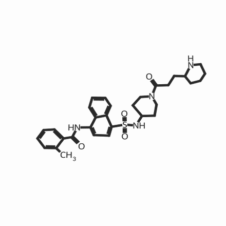 Cc1ccccc1C(=O)Nc1ccc(S(=O)(=O)NC2CCN(C(=O)CCC3CCCCN3)CC2)c2ccccc12